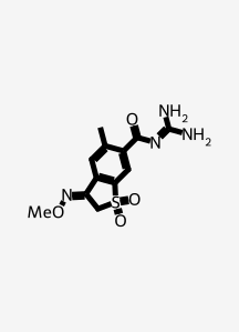 CON=C1CS(=O)(=O)c2cc(C(=O)N=C(N)N)c(C)cc21